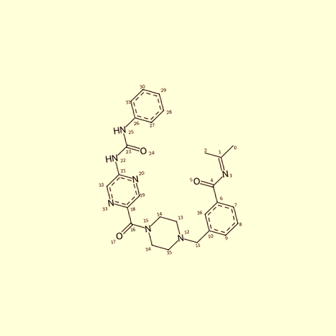 CC(C)=NC(=O)c1cccc(CN2CCN(C(=O)c3cnc(NC(=O)Nc4ccccc4)cn3)CC2)c1